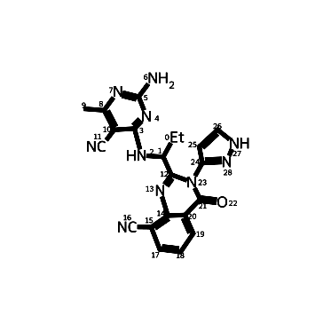 CCC(Nc1nc(N)nc(C)c1C#N)c1nc2c(C#N)cccc2c(=O)n1-c1cc[nH]n1